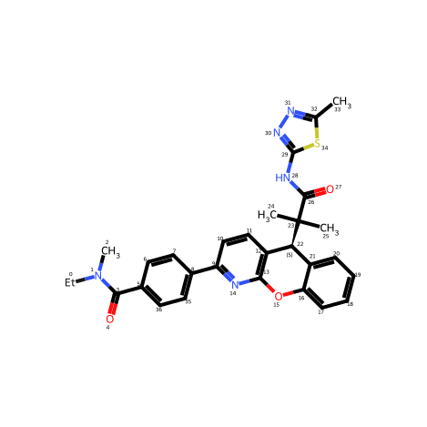 CCN(C)C(=O)c1ccc(-c2ccc3c(n2)Oc2ccccc2[C@@H]3C(C)(C)C(=O)Nc2nnc(C)s2)cc1